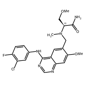 COC[C@@H](C(N)=O)N(C)Cc1cc2c(Nc3ccc(F)c(Cl)c3)ncnc2cc1OC